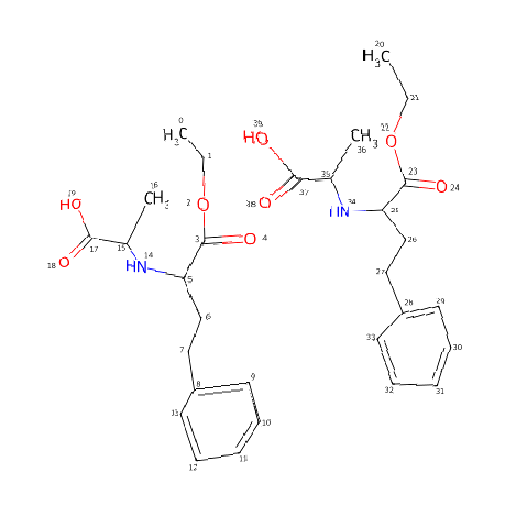 CCOC(=O)C(CCc1ccccc1)NC(C)C(=O)O.CCOC(=O)C(CCc1ccccc1)NC(C)C(=O)O